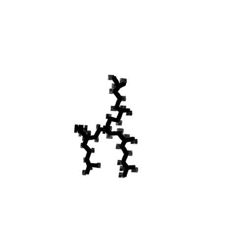 CC(C)CCCC(C)CCN(CCC(C)CCCC(C)C)CCC(C)CCCC(C)C.N